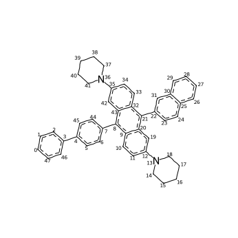 c1ccc(-c2ccc(-c3c4ccc(N5CCCCC5)cc4c(-c4ccc5ccccc5c4)c4ccc(N5CCCCC5)cc34)cc2)cc1